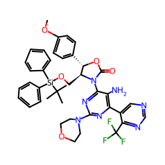 COc1ccc([C@@H]2OC(=O)N(c3nc(N4CCOCC4)nc(-c4cncnc4C(F)(F)F)c3N)[C@H]2CO[Si](c2ccccc2)(c2ccccc2)C(C)(C)C)cc1